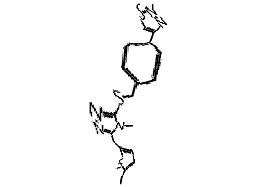 Cc1ccc(-c2nnc(SCc3ccc(-c4csnn4)cc3)n2C)s1